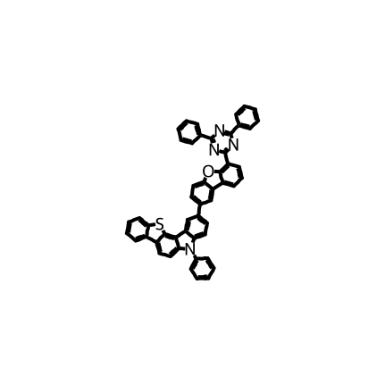 c1ccc(-c2nc(-c3ccccc3)nc(-c3cccc4c3oc3ccc(-c5ccc6c(c5)c5c7sc8ccccc8c7ccc5n6-c5ccccc5)cc34)n2)cc1